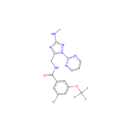 CNc1nc(CNC(=O)c2cc(Cl)cc(OC(F)(F)F)c2)n(-c2ncccn2)n1